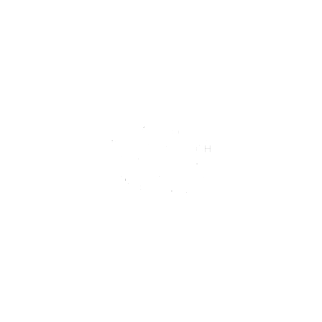 C=C=O.O=C(c1ccccc1)c1ccccc1O